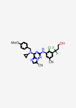 COc1ccc(CN(c2nc(Nc3cc(C#N)cc(C(F)(F)CCO)c3Cl)nn3c(C#N)cnc23)C2CC2)cc1